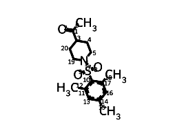 CC(=O)C1CCN(S(=O)(=O)c2c(C)cc(C)cc2C)CC1